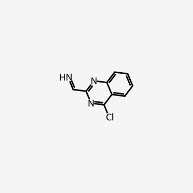 N=Cc1nc(Cl)c2ccccc2n1